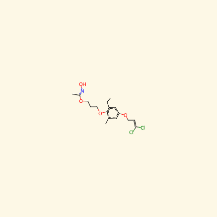 CCc1cc(OCC=C(Cl)Cl)cc(C)c1OCCCOC(C)=NO